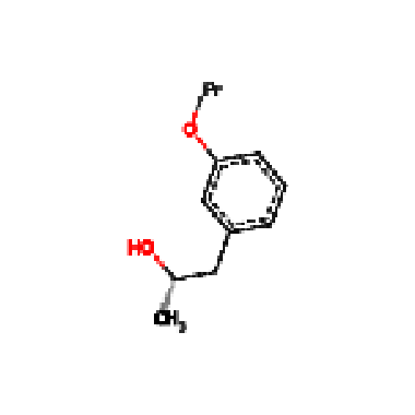 CC(C)Oc1cccc(C[C@H](C)O)c1